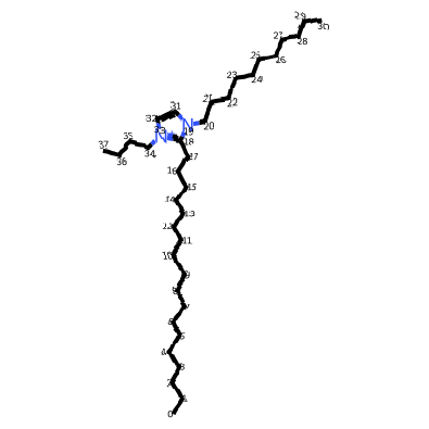 CCCCCCCCCCCCCCCCCCc1n(CCCCCCCCCCC)cc[n+]1CCCC